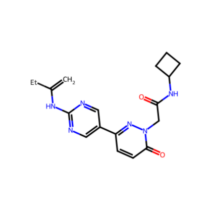 C=C(CC)Nc1ncc(-c2ccc(=O)n(CC(=O)NC3CCC3)n2)cn1